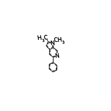 Cc1cc2cc(-c3ccccc3)ncc2n1C